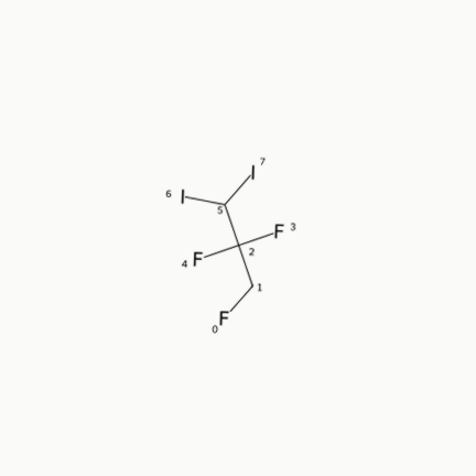 FCC(F)(F)C(I)I